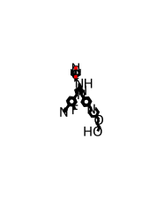 N#Cc1ccc(-c2cc(NCC34CCN(CC3)CC4)nn2-c2ccc(N3CCC(OCCO)CC3)cc2)cc1F